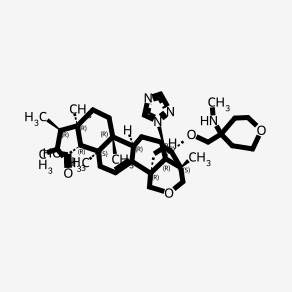 CNC1(CO[C@H]2[C@H](n3cncn3)C[C@@]34COC[C@]2(C)[C@@H]3CC[C@H]2C4=CC[C@@]3(C)[C@H](C(=O)O)[C@@](C)([C@H](C)C(C)C)CC[C@]23C)CCOCC1